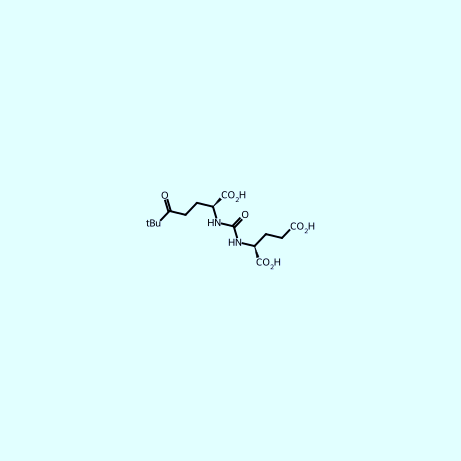 CC(C)(C)C(=O)CC[C@H](NC(=O)N[C@@H](CCC(=O)O)C(=O)O)C(=O)O